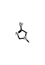 CN1[C]C(Br)=NC1